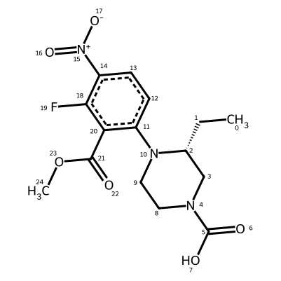 CC[C@@H]1CN(C(=O)O)CCN1c1ccc([N+](=O)[O-])c(F)c1C(=O)OC